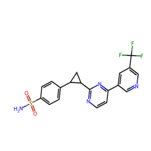 NS(=O)(=O)c1ccc(C2CC2c2nccc(-c3cncc(C(F)(F)F)c3)n2)cc1